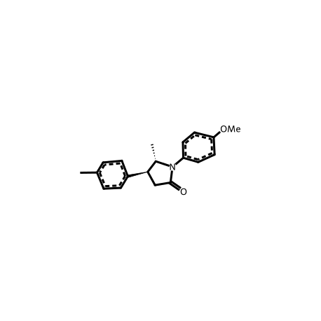 COc1ccc(N2C(=O)C[C@@H](c3ccc(C)cc3)[C@@H]2C)cc1